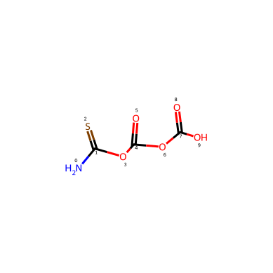 NC(=S)OC(=O)OC(=O)O